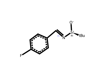 CC(C)(C)[S@+]([O-])/N=C/c1ccc(F)cc1